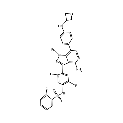 CC(C)n1nc(-c2cc(F)c(NS(=O)(=O)c3ccccc3Cl)cc2F)c2c(N)ncc(-c3ccc(NC4COC4)cc3)c21